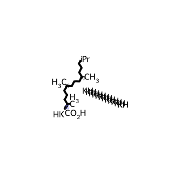 C/C(=C\C(=O)O)CCC[C@H](C)CCC[C@H](C)CCCC(C)C.[KH].[KH].[KH].[KH].[KH].[KH].[KH].[KH].[KH].[KH].[KH].[KH].[KH]